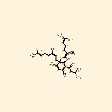 CC(C)=CCCC(C)=CCC1(CC=C(C)CCC=C(C)C)C(=O)C(C(=O)CC(C)C)=C(O)C=C1O